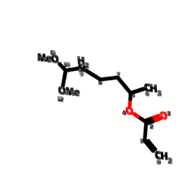 C=CC(=O)OC(C)CC[SiH2]C(OC)OC